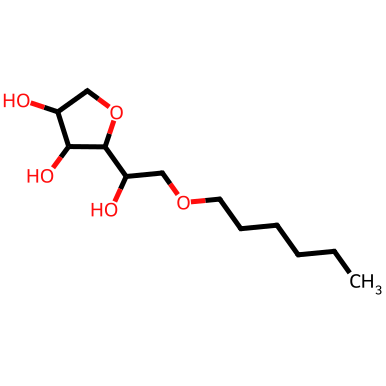 CCCCCCOCC(O)C1OCC(O)C1O